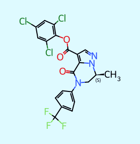 C[C@H]1CN(c2ccc(C(F)(F)F)cc2)C(=O)c2c(C(=O)Oc3c(Cl)cc(Cl)cc3Cl)cnn21